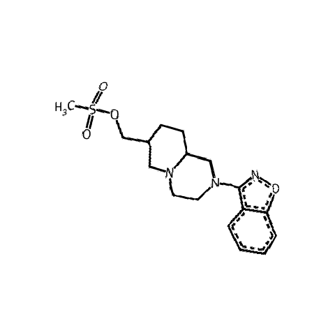 CS(=O)(=O)OCC1CCC2CN(c3noc4ccccc34)CCN2C1